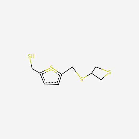 SCc1ccc(CSC2CSC2)s1